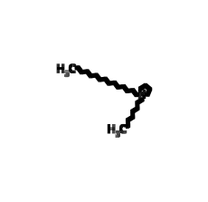 CCCCCCCCCCCCCCC[N+]1(CCCCCCCC)CCCC1